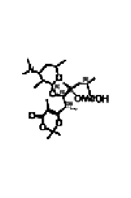 CO[C@](C)(C[C@@H](C)CO)[C@H](O[C@@H]1OC(C)CC(N(C)C)C1C)[C@H](C)C1=C(C)C(=O)OC(C)(C)O1